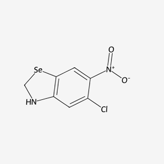 O=[N+]([O-])c1cc2c(cc1Cl)NC[Se]2